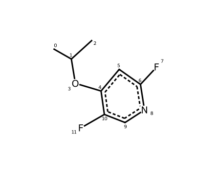 CC(C)Oc1cc(F)ncc1F